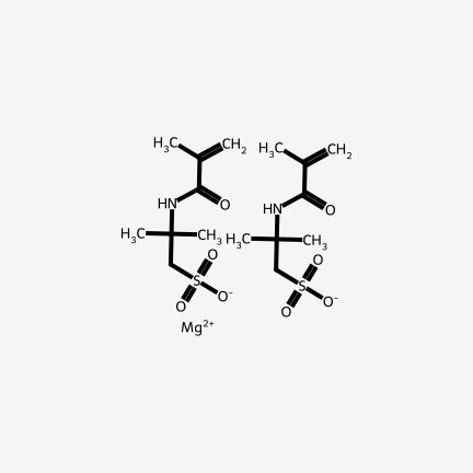 C=C(C)C(=O)NC(C)(C)CS(=O)(=O)[O-].C=C(C)C(=O)NC(C)(C)CS(=O)(=O)[O-].[Mg+2]